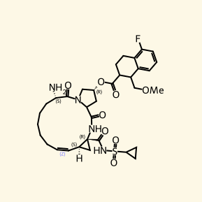 COCC1c2cccc(F)c2CCC1C(=O)O[C@@H]1CC2C(=O)N[C@]3(C(=O)NS(=O)(=O)C4CC4)C[C@H]3/C=C\CCCCC[C@H](N)C(=O)N2C1